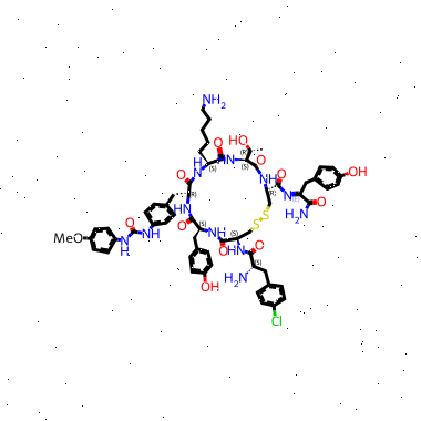 COc1ccc(NC(=O)Nc2ccc(C[C@H]3NC(=O)[C@H](Cc4ccc(O)cc4)NC(=O)[C@H](NC(=O)[C@@H](N)Cc4ccc(Cl)cc4)CSSC[C@@H](C(=O)/N=C(\Cc4ccc(O)cc4)C(N)=O)NC(=O)[C@H]([C@@H](C)O)NC(=O)[C@H](CCCCCN)NC3=O)cc2)cc1